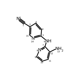 N#Cc1ccc(Nc2ncccc2N)nc1